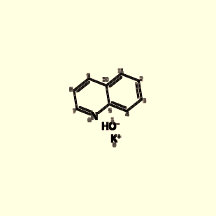 [K+].[OH-].c1ccc2ncccc2c1